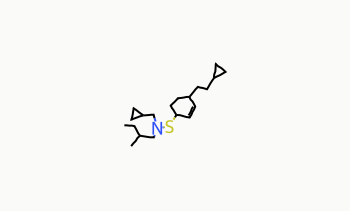 CCC(C)CN(CC1CC1)SC1C=CC(CCC2CC2)CC1